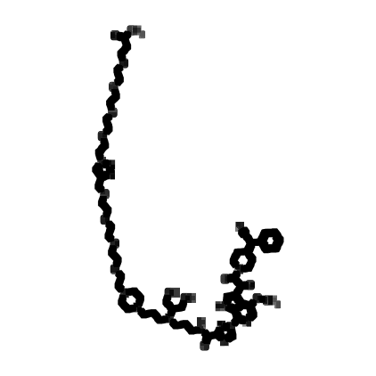 COc1cnc(-n2cnc(C(=O)NCCCN(CCCN3CCN(CCOCCOCCOCCOCc4cn(CCOCCOCCOCCOCCC(C)=O)nn4)CC3)C(CO)CO)n2)c2[nH]cc(C(=O)C(=O)N3CCC(=C(C#N)c4ccccc4)CC3)c12